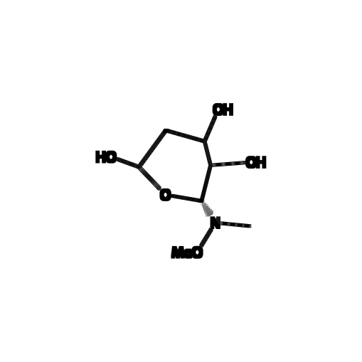 CON(C)[C@@H]1OC(O)CC(O)C1O